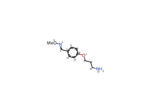 CO/N=C/c1ccc(OCCCN)cc1